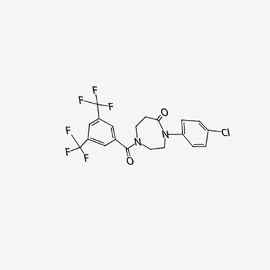 O=C(c1cc(C(F)(F)F)cc(C(F)(F)F)c1)N1CCC(=O)N(c2ccc(Cl)cc2)CC1